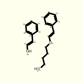 CCCCCOC=Cc1ccccc1.OC=Cc1ccccc1